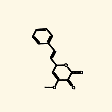 COC1=CC(C=Cc2ccccc2)OC(=O)C1=O